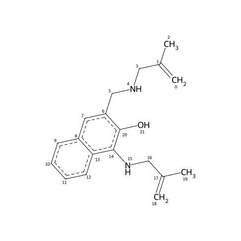 C=C(C)CNCc1cc2ccccc2c(NCC(=C)C)c1O